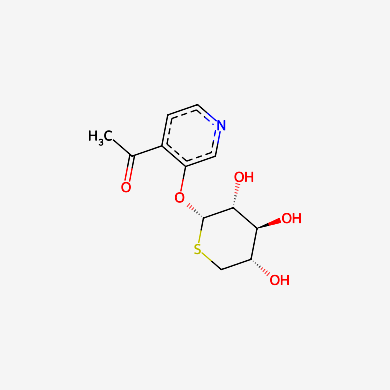 CC(=O)c1ccncc1O[C@H]1SC[C@@H](O)[C@H](O)[C@H]1O